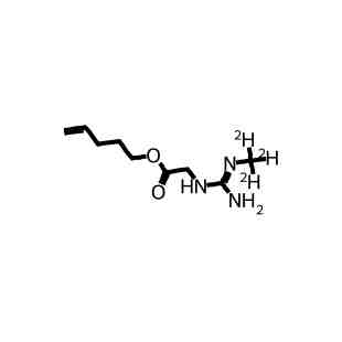 [2H]C([2H])([2H])N=C(N)NCC(=O)OCCCC=C